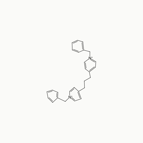 c1ccc(C[n+]2ccc(CCCc3cc[n+](Cc4ccccc4)cc3)cc2)cc1